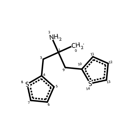 [CH2]C(N)(Cc1cccs1)Cc1cccs1